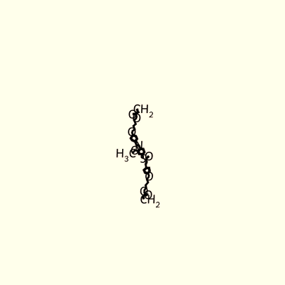 C=CC(=O)OCCCCOc1ccc(/C=C/C(=O)Sc2ccc(/N=C/c3ccc(OCCCCOC(=O)C=C)cc3)c(OC)c2)cc1